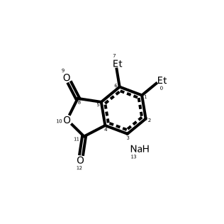 CCc1ccc2c(c1CC)C(=O)OC2=O.[NaH]